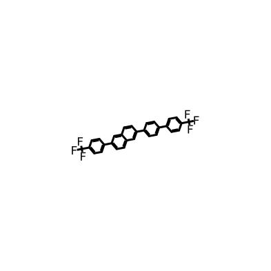 FC(F)(F)c1ccc(-c2ccc(-c3ccc4cc(-c5ccc(C(F)(F)F)cc5)ccc4c3)cc2)cc1